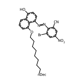 CCCCCCCCCCCCCCCCCCOc1cccc2c(O)ccc(N=Nc3c(Br)cc([N+](=O)[O-])cc3C#N)c12